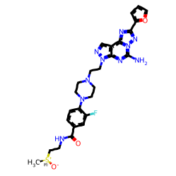 C[S@+]([O-])CCNC(=O)c1ccc(N2CCN(CCn3ncc4c3nc(N)n3nc(-c5ccco5)nc43)CC2)c(F)c1